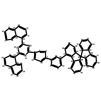 c1cc(-c2ccc(-c3nc(-c4cccc5ccccc45)nc(-c4cccc5ccccc45)n3)cc2)cc(-c2cccc3c2-c2ccccc2C32c3ccccc3-c3ccccc32)c1